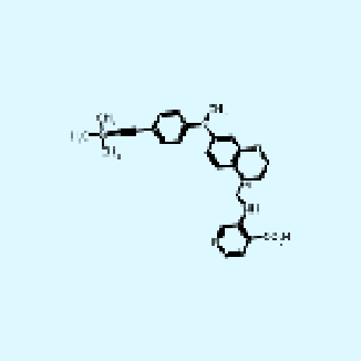 CN(c1ccc(C#C[Si](C)(C)C)cc1)c1ccc2c(c1)OCC[C@H]2CNc1cnccc1C(=O)O